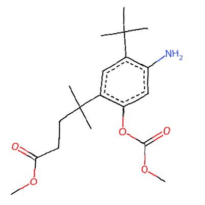 COC(=O)CCC(C)(C)c1cc(C(C)(C)C)c(N)cc1OC(=O)OC